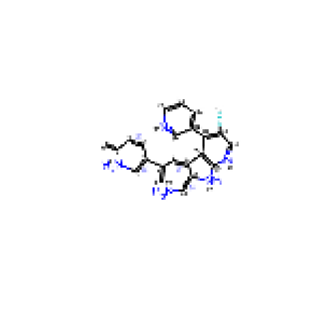 C=C/C=C\C(=C/N)C(=C)/C=c1\c(=C/N)[nH]c2ncc(F)c(-c3cccnc3)c12